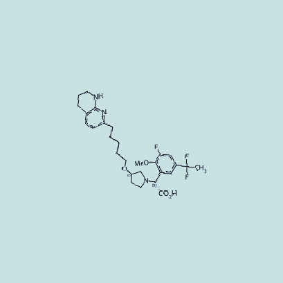 COc1c(F)cc(C(C)(F)F)cc1[C@H](C(=O)O)N1CC[C@@H](OCCCCCc2ccc3c(n2)NCCC3)C1